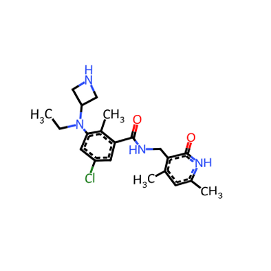 CCN(c1cc(Cl)cc(C(=O)NCc2c(C)cc(C)[nH]c2=O)c1C)C1CNC1